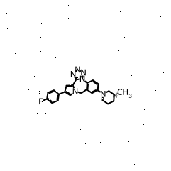 C[C@@H]1CCCN(c2ccc3c(c2)Cn2cc(-c4ccc(F)cc4)cc2-c2nnnn2-3)C1